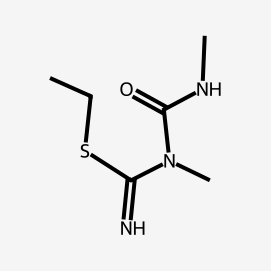 CCSC(=N)N(C)C(=O)NC